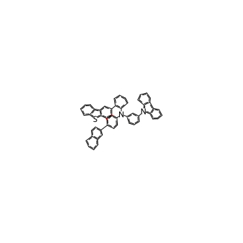 c1cc(N(c2ccc(-c3ccc4ccccc4c3)cc2)c2ccccc2-c2ccc3sc4ccccc4c3c2)cc(-n2c3ccccc3c3ccccc32)c1